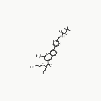 CCCN(OCCO)C(=O)C1=Cc2ccc(-c3cnc(CNC(=O)OC(C)(C)C)nc3)cc2N=C(N)C1